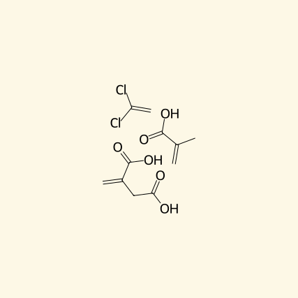 C=C(C)C(=O)O.C=C(CC(=O)O)C(=O)O.C=C(Cl)Cl